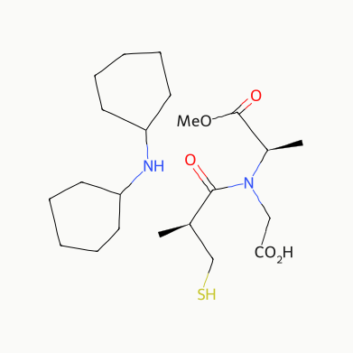 C1CCC(NC2CCCCC2)CC1.COC(=O)[C@@H](C)N(CC(=O)O)C(=O)[C@H](C)CS